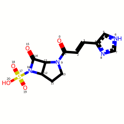 O=C(/C=C/c1c[nH]cn1)N1CCC2C1C(=O)N2S(=O)(=O)O